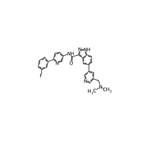 CN(C)Cc1cncc(-c2ccc3[nH]nc(C(=O)Nc4ccc(-c5cccc(F)c5)nc4)c3c2)c1